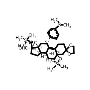 CN(C)c1ccc([C@H]2C[C@@]3(C)[C@@H](CC[C@@]3(C=O)O[Si](C)(C)C)[C@@H]3CC[C@@]4(O[Si](C)(C)C)CC5(CCC4=C32)OCCO5)cc1